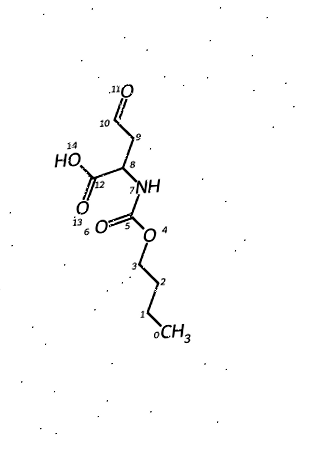 CCCCOC(=O)NC(CC=O)C(=O)O